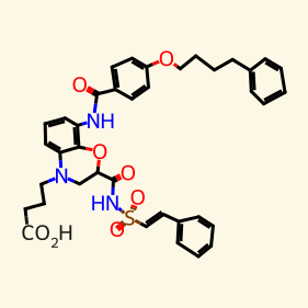 O=C(O)CCCN1CC(C(=O)NS(=O)(=O)C=Cc2ccccc2)Oc2c(NC(=O)c3ccc(OCCCCc4ccccc4)cc3)cccc21